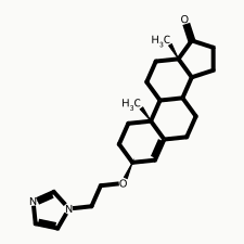 C[C@]12CC[C@H](OCCn3ccnc3)C=C1CCC1C2CC[C@]2(C)C(=O)CCC12